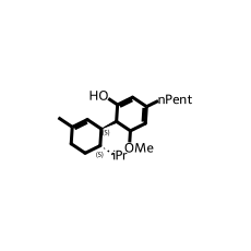 CCCCCC1=CC(OC)C([C@@H]2C=C(C)CC[C@H]2C(C)C)C(O)=C1